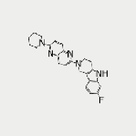 Fc1ccc2c3c([nH]c2c1)CCN(c1ccc2nc(N4CCCCC4)ccc2n1)C3